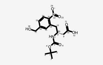 CC(C)(C)OC(=O)N[C@@H](CC(=O)O)Cc1cc(CO)ccc1[N+](=O)[O-]